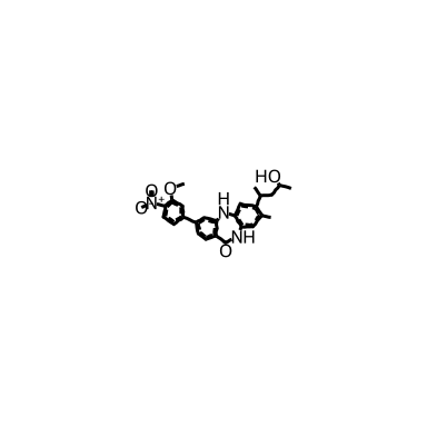 COc1cc(-c2ccc3c(c2)Nc2cc(C(C)CC(C)O)c(C)cc2NC3=O)ccc1[N+](=O)[O-]